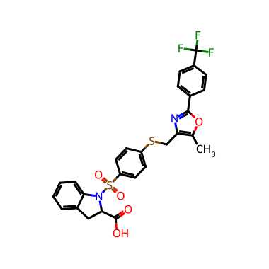 Cc1oc(-c2ccc(C(F)(F)F)cc2)nc1CSc1ccc(S(=O)(=O)N2c3ccccc3CC2C(=O)O)cc1